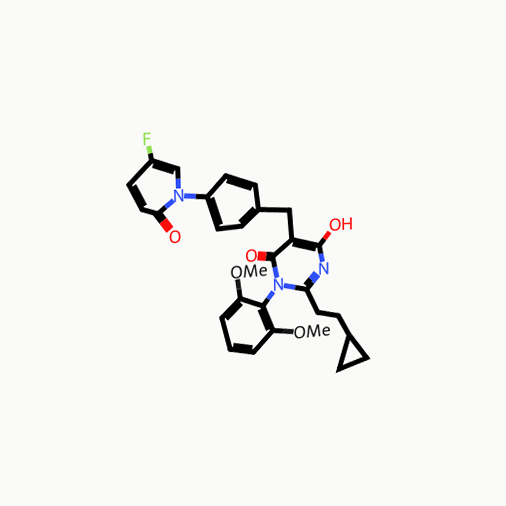 COc1cccc(OC)c1-n1c(CCC2CC2)nc(O)c(Cc2ccc(-n3cc(F)ccc3=O)cc2)c1=O